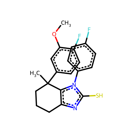 COc1cc(C2(C)CCCc3nc(S)n(-c4ccc(F)cc4)c32)ccc1F